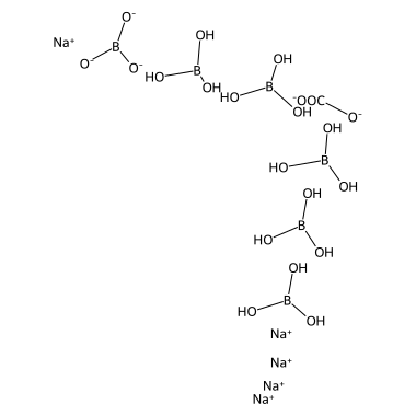 O=C([O-])[O-].OB(O)O.OB(O)O.OB(O)O.OB(O)O.OB(O)O.[Na+].[Na+].[Na+].[Na+].[Na+].[O-]B([O-])[O-]